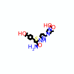 CC1CN(Cc2cccc(Nc3sc(-c4ccc(C(C)(C)O)cc4)cc3C(N)=O)n2)CCN1C(=O)O